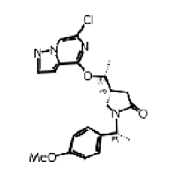 COc1ccc([C@@H](C)N2C[C@H]([C@@H](C)Oc3nc(Cl)cn4nccc34)CC2=O)cc1